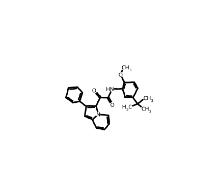 COc1ccc(C(C)(C)C)cc1NC(=O)C(=O)c1c(-c2ccccc2)cc2ccccn12